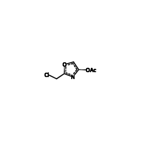 CC(=O)Oc1coc(CCl)n1